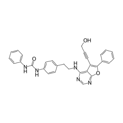 O=C(Nc1ccccc1)Nc1ccc(CCNc2ncnc3oc(-c4ccccc4)c(C#CCO)c23)cc1